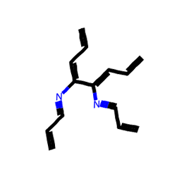 C=CC=NC(=CC=C)C(=CC=C)N=CC=C